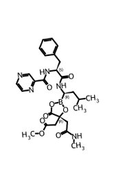 CNC(=O)C[C@]1(CC(=O)OC)OB([C@H](CC(C)C)NC(=O)[C@H](Cc2ccccc2)NC(=O)c2cnccn2)OC1=O